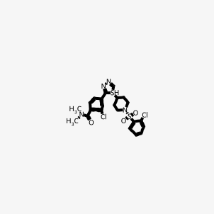 CN(C)C(=O)c1ccc(C2=NN=C[SH]2C2CCN(S(=O)(=O)c3ccccc3Cl)CC2)cc1Cl